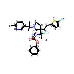 Cc1ccc(C(C)(C)N2CCC(CCc3ccc(F)s3)(C(F)(NC(=O)Oc3ccccc3)C(F)(F)F)C2)cn1